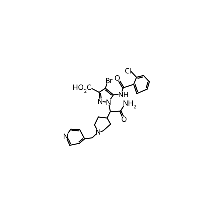 NC(=O)C(C1CCN(Cc2ccncc2)CC1)n1nc(C(=O)O)c(Br)c1NC(=O)c1ccccc1Cl